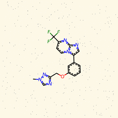 Cn1cnc(COc2cccc(-c3cnc4nc(C(F)(F)F)ccn34)c2)n1